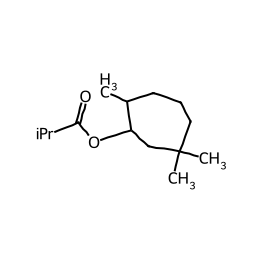 CC(C)C(=O)OC1CC(C)(C)CCCC1C